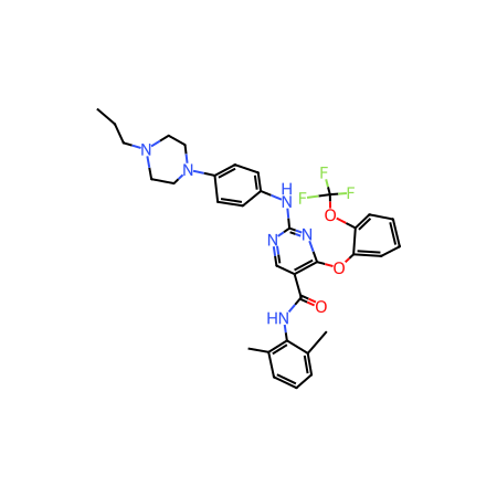 CCCN1CCN(c2ccc(Nc3ncc(C(=O)Nc4c(C)cccc4C)c(Oc4ccccc4OC(F)(F)F)n3)cc2)CC1